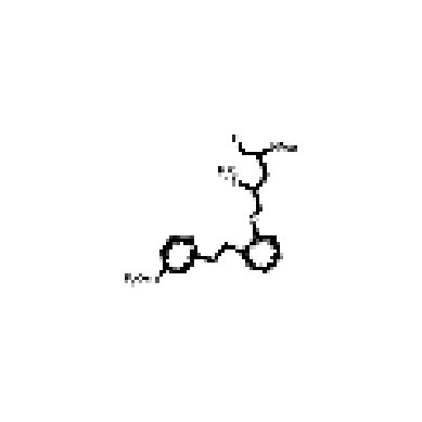 CNC(CF)CC(COc1ccccc1CCc1cccc(OC(F)(F)F)c1)OC(F)(F)F